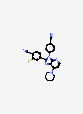 N#Cc1ccc(-n2c(-c3ccc(C#N)c(F)c3)nc3c(N4CCCCC4)ccnc32)cc1